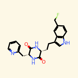 O=C1N[C@H](Cc2ccccn2)C(=O)N[C@@H]1CCc1c[nH]c2ccc(CF)cc12